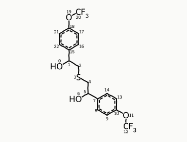 OC(CSCC(O)c1ccc(OC(F)(F)F)cc1)c1ccc(OC(F)(F)F)cc1